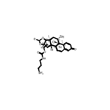 CCC1O[C@H]2C[C@H]3[C@@H]4CCC5=CC(=O)C=C[C@]5(C)[C@@]4(Cl)[C@@H](O)C[C@]3(C)[C@]2(C(=O)COC(=O)NCCCN)O1